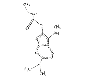 CCNC(=O)Cc1sc2nc(C(C)C)cnc2c1NC